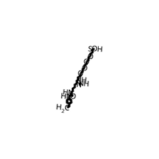 C=Cc1ccc(NC(=O)NCCCC/C(=C/NCCOCCOCCOCCOCCC(O)=S)N=N)cc1